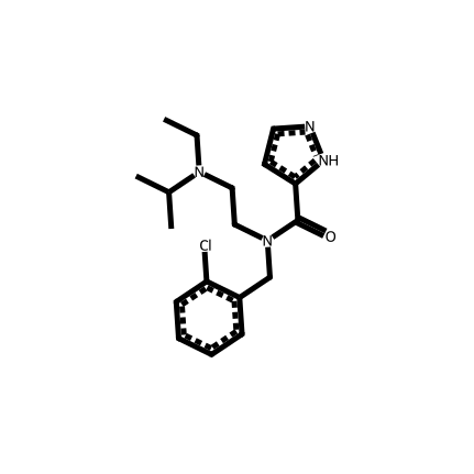 CCN(CCN(Cc1ccccc1Cl)C(=O)c1ccn[nH]1)C(C)C